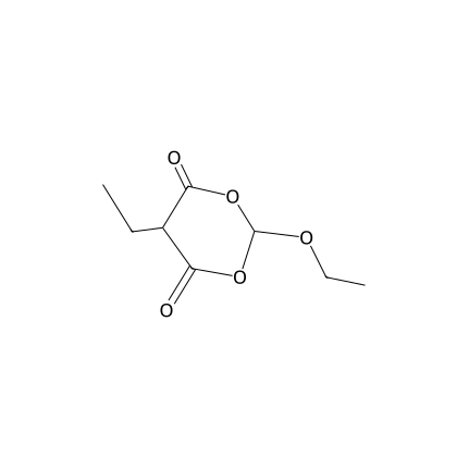 CCOC1OC(=O)C(CC)C(=O)O1